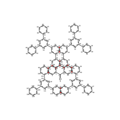 O=C(c1ccccc1-c1cc(-c2cccc(-c3nc(-c4ccccc4)nc(-c4ccccc4)n3)c2)cc(-c2cccc(-c3nc(-c4ccccc4)nc(-c4ccccc4)n3)c2)c1)c1ccccc1-c1cc(-c2cccc(-c3nc(-c4ccccc4)nc(-c4ccccc4)n3)c2)cc(-c2cccc(-c3nc(-c4ccccc4)nc(-c4ccccc4)n3)c2)c1